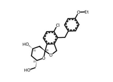 CCOc1ccc(Cc2c(Cl)ccc3c2CO[C@@]32C[C@@H](O)C[C@@H](CO)O2)cc1